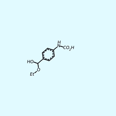 CCOC(O)c1ccc(NC(=O)O)cc1